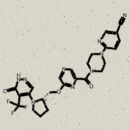 N#Cc1ccc(N2CCN(C(=O)c3cncc(OC[C@@H]4CCCN4c4cn[nH]c(=O)c4C(F)(F)F)n3)CC2)nc1